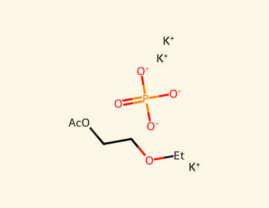 CCOCCOC(C)=O.O=P([O-])([O-])[O-].[K+].[K+].[K+]